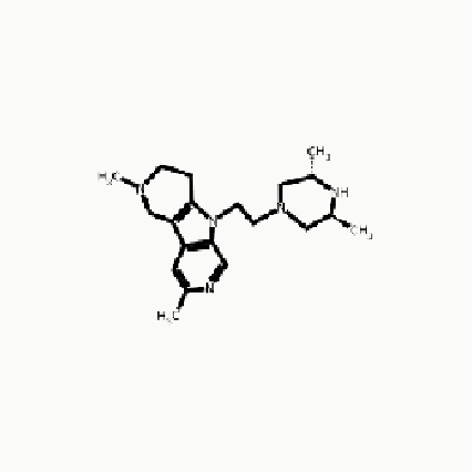 Cc1cc2c3c(n(CCN4C[C@H](C)N[C@@H](C)C4)c2cn1)CCN(C)C3